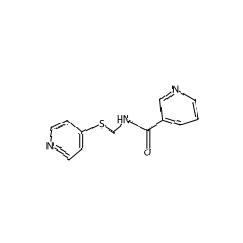 O=C(NCSc1ccncc1)c1cccnc1